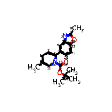 Cc1nc2cc(C3=CC[C@H](C)CN3C(=O)OC(C)(C)C)ccc2o1